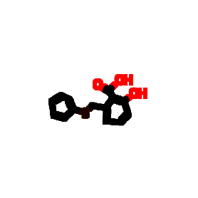 O=C(O)c1c(O)cccc1CSc1ccccc1